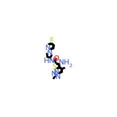 Cc1nc2cc(C)c3c(N)c(C(=O)N[C@H]4CCN(c5ccc(F)cn5)C4)sc3n2n1